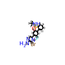 CC(C)(C)N[S+]([O-])c1ccccc1-c1ccc(-c2cnc(N)c(Br)n2)c(F)c1